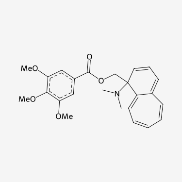 COc1cc(C(=O)OCC2(N(C)C)C=CC=C3C=CC=CC=C32)cc(OC)c1OC